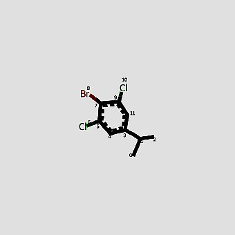 CC(C)c1cc(Cl)c(Br)c(Cl)c1